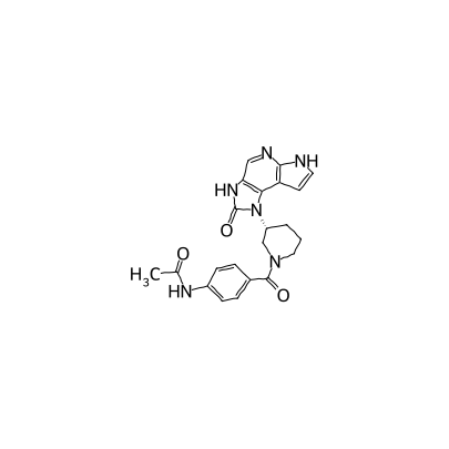 CC(=O)Nc1ccc(C(=O)N2CCC[C@@H](n3c(=O)[nH]c4cnc5[nH]ccc5c43)C2)cc1